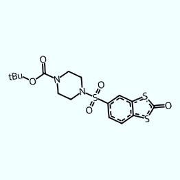 CC(C)(C)OC(=O)N1CCN(S(=O)(=O)c2ccc3sc(=O)sc3c2)CC1